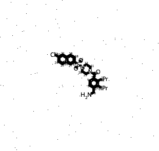 CC(C)c1c(CN)ccc(C(=O)N2CCN(S(=O)(=O)c3ccc4cc(Cl)ccc4c3)CC2)c1C(C)C